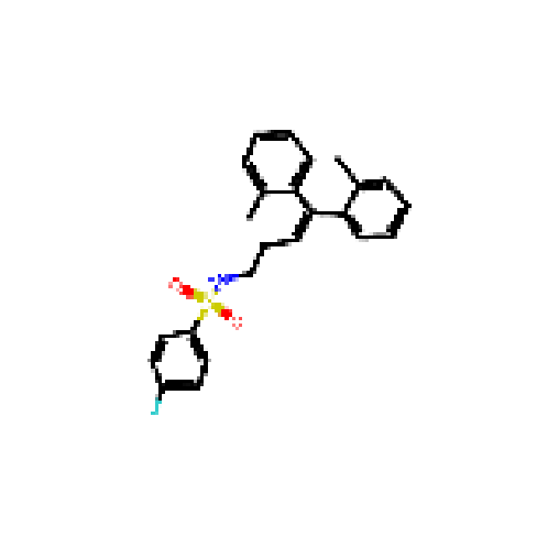 Cc1ccccc1C(=CCCNS(=O)(=O)c1ccc(F)cc1)c1ccccc1C